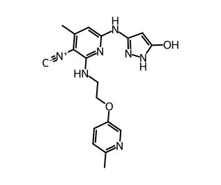 [C-]#[N+]c1c(C)cc(Nc2cc(O)[nH]n2)nc1NCCOc1ccc(C)nc1